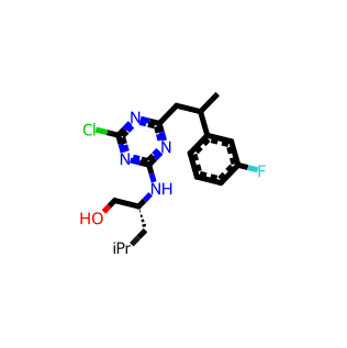 CC(C)C[C@H](CO)Nc1nc(Cl)nc(CC(C)c2cccc(F)c2)n1